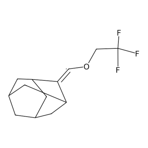 FC(F)(F)CO[C]=C1C2CC3CC(C2)CC1C3